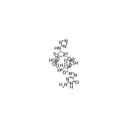 Nc1nc2c(ncn2[C@@H]2O[C@@H]3COP(=O)(O)O[C@@H]4[C@@H](COP(=O)(S)O[C@@H]2[C@@H]3O)C[C@@H](Nc2ncncn2)[C@@H]4F)c(=O)[nH]1